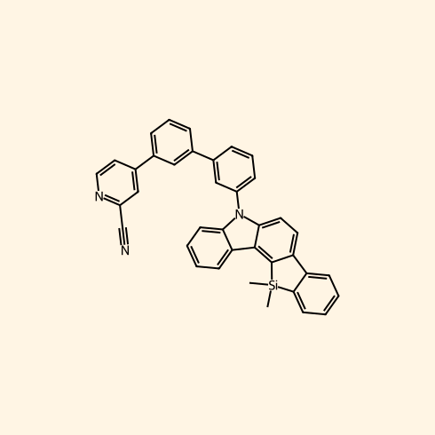 C[Si]1(C)c2ccccc2-c2ccc3c(c21)c1ccccc1n3-c1cccc(-c2cccc(-c3ccnc(C#N)c3)c2)c1